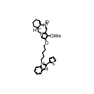 COc1c(OCCCCCn2c(-c3cccs3)nc3ccccc32)cn2c1C=[N+]([O-])C1=CCCC[C@H]1C2